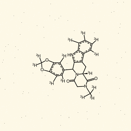 [2H]c1c([2H])c(C2c3[nH]c4c([2H])c([2H])c([2H])c([2H])c4c3C[C@]3([2H])C(=O)N(C([2H])([2H])[2H])CC(=O)N23)c([2H])c2c1OC([2H])([2H])O2